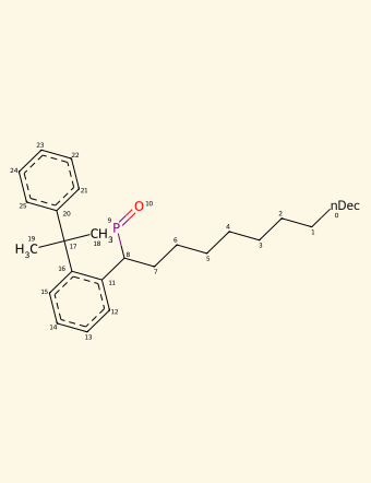 CCCCCCCCCCCCCCCCCC(P=O)c1ccccc1C(C)(C)c1ccccc1